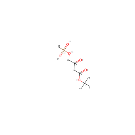 CC(C)(C)OC(=O)CC(=O)COS(C)(=O)=O